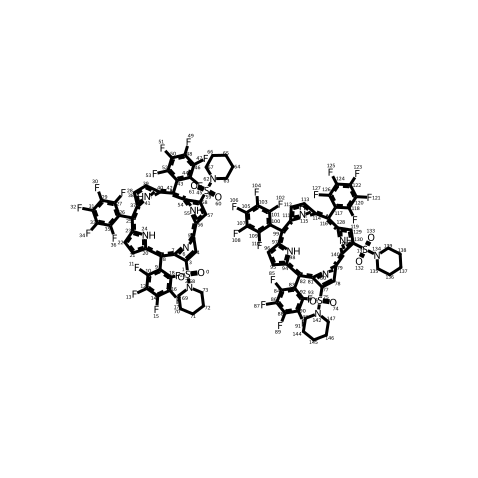 O=S(=O)(C1=Cc2nc1c(-c1c(F)c(F)c(F)c(F)c1F)c1ccc([nH]1)c(-c1c(F)c(F)c(F)c(F)c1F)c1ccc([nH]1)c(-c1c(F)c(F)c(F)c(F)c1F)c1[nH]c2cc1S(=O)(=O)N1CCCCC1)N1CCCCC1.O=S(=O)(C1=Cc2nc1c(-c1c(F)c(F)c(F)c(F)c1F)c1ccc([nH]1)c(-c1c(F)c(F)c(F)c(F)c1F)c1ccc([nH]1)c(-c1c(F)c(F)c(F)c(F)c1F)c1cc(S(=O)(=O)N3CCCCC3)c2[nH]1)N1CCCCC1